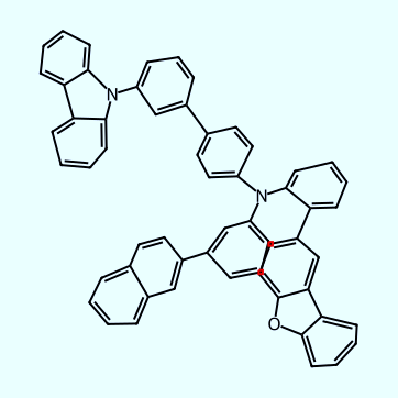 c1cc(-c2ccc3ccccc3c2)cc(N(c2ccc(-c3cccc(-n4c5ccccc5c5ccccc54)c3)cc2)c2ccccc2-c2ccc3oc4ccccc4c3c2)c1